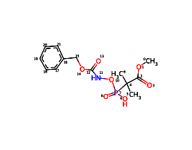 COC(=O)C(C)(C)P(=O)(O)ONC(=O)OCc1ccccc1